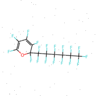 FC1=C(F)C(F)=C(F)C(F)(C(F)(F)C(F)(F)C(F)(F)C(F)(F)C(F)(F)C(F)(F)F)O1